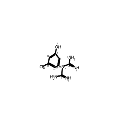 N=C(N)NC(=N)N.Oc1cccc(Cl)c1